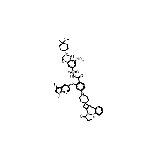 CC(C)c1ccccc1[C@@H]1CCC(=O)N1C1CC2(CCN(c3ccc(C(=O)NS(=O)(=O)c4cc5c(c([N+](=O)[O-])c4)N[C@@H](C4CCC(C)(O)CC4)CO5)c(Oc4cnc5[nH]cc(F)c5c4)c3)CC2)C1